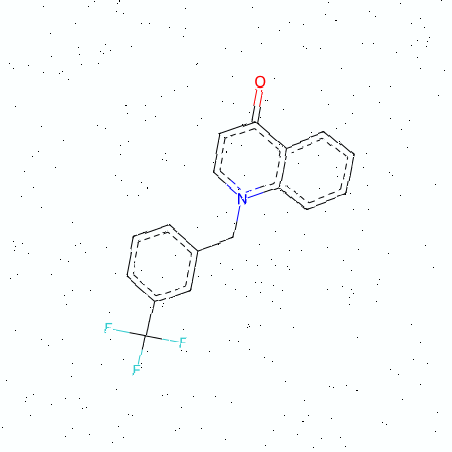 O=c1ccn(Cc2cccc(C(F)(F)F)c2)c2ccccc12